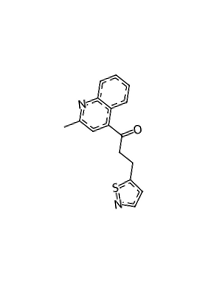 Cc1cc(C(=O)CCc2ccns2)c2ccccc2n1